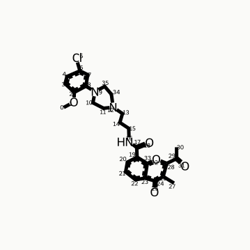 COc1ccc(Cl)cc1N1CCN(CCCNC(=O)c2cccc3c(=O)c(C)c(C(C)=O)oc23)CC1